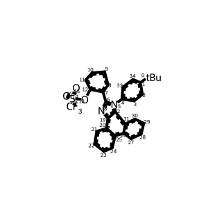 CC(C)(C)c1ccc(-n2c(-c3ccccc3OS(=O)(=O)C(F)(F)F)nc3c4ccccc4c4ccccc4c32)cc1